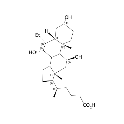 CC[C@H]1[C@@H](O)C2C3CC[C@H]([C@H](C)CCCC(=O)O)[C@@]3(C)C[C@H](O)C2[C@@]2(C)CC[C@@H](O)C[C@@H]12